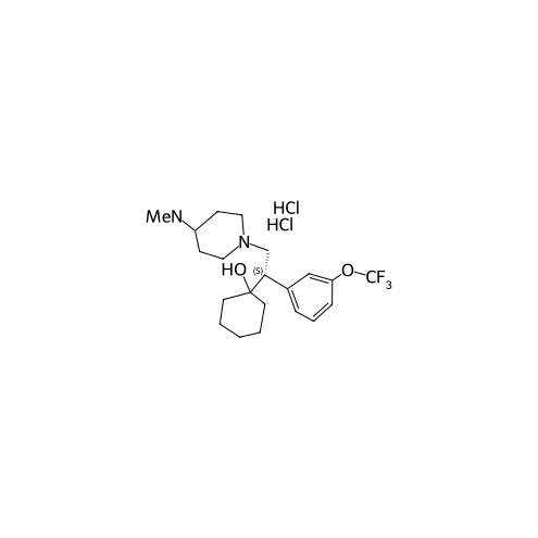 CNC1CCN(C[C@H](c2cccc(OC(F)(F)F)c2)C2(O)CCCCC2)CC1.Cl.Cl